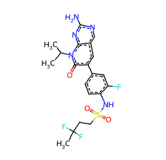 CC(C)n1c(=O)c(-c2ccc(NS(=O)(=O)CCC(C)(F)F)c(F)c2)cc2cnc(N)nc21